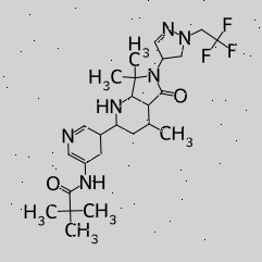 CC1CC(C2C=NC=C(NC(=O)C(C)(C)C)C2)NC2C1C(=O)N(C1C=NN(CC(F)(F)F)C1)C2(C)C